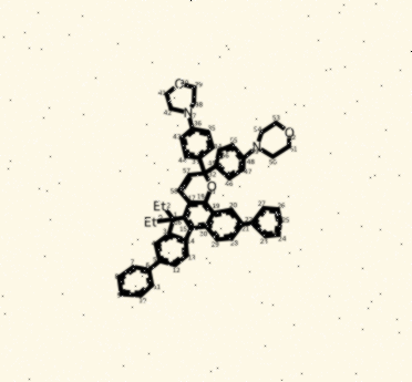 CCC1(CC)c2cc(-c3ccccc3)ccc2-c2c1c1c(c3cc(-c4ccccc4)ccc23)OC(c2ccc(N3CCOCC3)cc2)(c2ccc(N3CCOCC3)cc2)C=C1